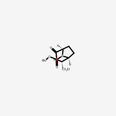 CCOC(=O)[C@@H]1NC(=O)[C@H]2CC[C@@H]1N2C(=O)OC(C)(C)C